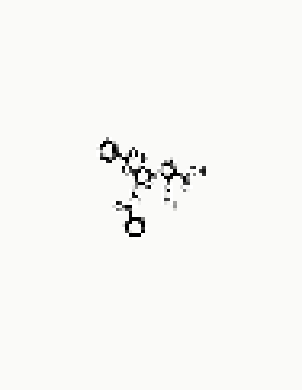 Nc1c(C(=O)O)ncn1[C@@H]1O[C@H](COC(=O)c2ccccc2)[C@@H](OC(=O)c2ccccc2)[C@@H]1F